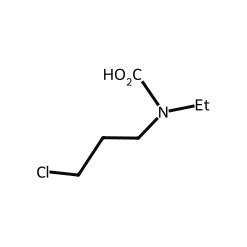 CCN(CCCCl)C(=O)O